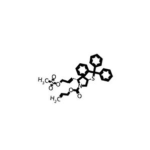 C=CCOC(=O)N1C[C@@H](SC(c2ccccc2)(c2ccccc2)c2ccccc2)C[C@H]1C=CCOS(C)(=O)=O